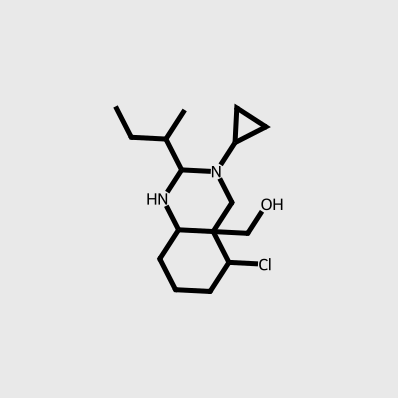 CCC(C)C1NC2CCCC(Cl)C2(CO)CN1C1CC1